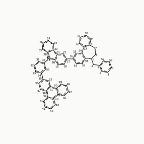 c1ccc(CC2CCc3ccccc3-c3cc(-c4ccc5c(c4)c4ccccc4n5-c4cccc(-c5ccc6c7ccccc7c7ccccc7c6c5)c4)ccc32)cc1